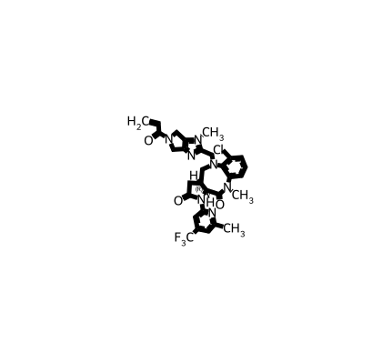 C=CC(=O)N1Cc2nc(CN3C[C@H]4CC(=O)N(c5cc(C(F)(F)F)cc(C)n5)[C@@H]4C(=O)N(C)c4cccc(Cl)c43)n(C)c2C1